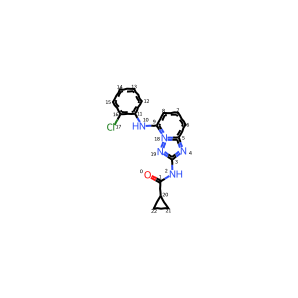 O=C(Nc1nc2cccc(Nc3ccccc3Cl)n2n1)C1CC1